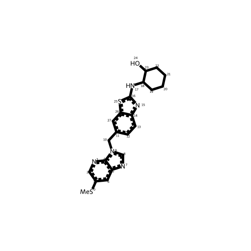 CSc1cnc2c(c1)ncn2Cc1ccc2nc(NC3CCCCC3O)sc2c1